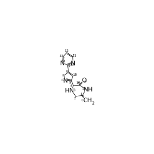 C=C1CNC(C2=NCC(c3ncccn3)=C2)C(=O)N1